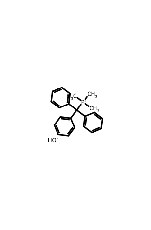 C[P+](C)(C)C(c1ccccc1)(c1ccccc1)c1ccccc1.[OH-]